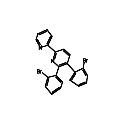 Brc1ccccc1-c1ccc(-c2ccccn2)nc1-c1ccccc1Br